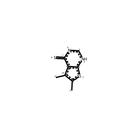 Cc1sc2[nH]cnc(=S)c2c1C